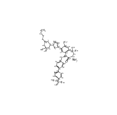 COCCN1CC(c2nnc(-c3cc4c(cc3F)C(F)(F)C[C@H](N)C(=O)N4Cc3ccc(-c4ccc(C(F)(F)F)cn4)cc3)o2)CC(F)(F)C1